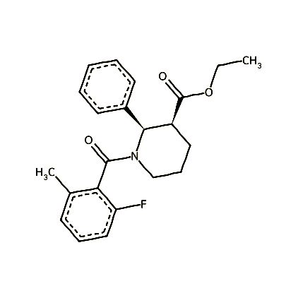 CCOC(=O)[C@H]1CCCN(C(=O)c2c(C)cccc2F)[C@H]1c1ccccc1